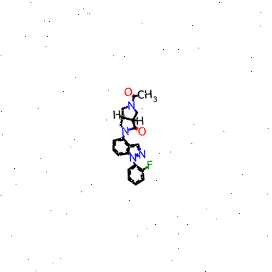 CC(=O)N1C[C@@H]2CN(c3cccc4c3cnn4-c3ccccc3F)C(=O)[C@H]2C1